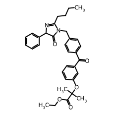 CCCCC1=NC(c2ccccc2)C(=O)N1Cc1ccc(C(=O)c2cccc(OC(C)(C)C(=O)OCC)c2)cc1